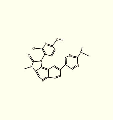 COc1ccc(-n2c(=O)n(C)c3cnc4ccc(-c5cnc(N(C)C)nc5)cc4c32)c(Cl)n1